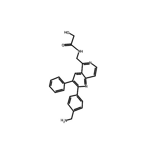 NCc1ccc(-c2nc3ccnc(CNC(=O)CO)c3cc2-c2ccccc2)cc1